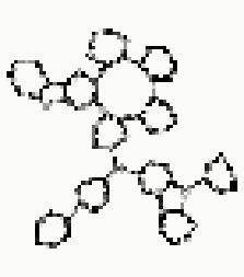 c1ccc(-c2ccc(N(c3ccc4c(c3)c3ccccc3c3ccccc3c3ccccc3c3cc5c(cc43)sc3ccccc35)c3ccc4c(c3)c3ccccc3n4-c3ccccc3)cc2)cc1